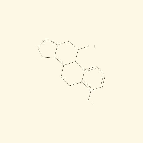 Oc1cccc2c1CCC1C3CCCC3CC(O)C21